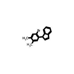 Cc1cc(Br)c(C2C=Cc3ccccc32)cc1C